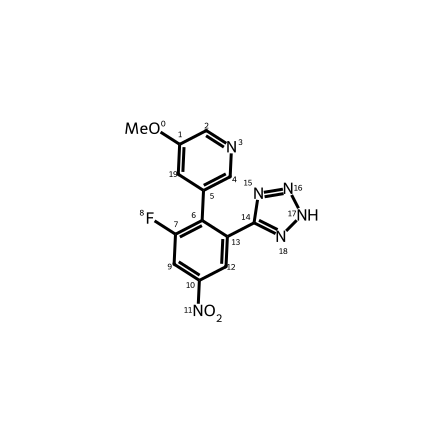 COc1cncc(-c2c(F)cc([N+](=O)[O-])cc2-c2nn[nH]n2)c1